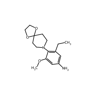 CCc1cc(N)cc(OC)c1N1CCC2(CC1)OCCO2